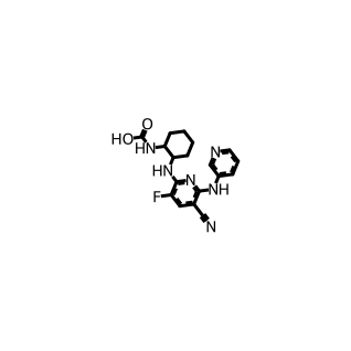 N#Cc1cc(F)c(NC2CCCCC2NC(=O)O)nc1Nc1cccnc1